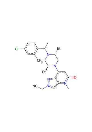 CC[C@H]1CN(C(C)c2ccc(Cl)cc2C(F)(F)F)[C@H](CC)CN1c1cc(=O)n(C)c2cn(CC#N)nc12